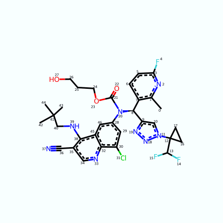 Cc1nc(F)ccc1[C@@H](c1cn(C2(C(F)F)CC2)nn1)N(C(=O)OCCCO)c1cc(Cl)c2ncc(C#N)c(NCC(C)(C)C)c2c1